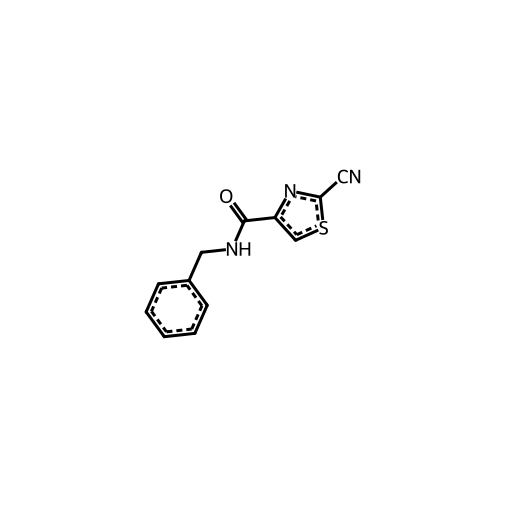 N#Cc1nc(C(=O)NCc2ccccc2)cs1